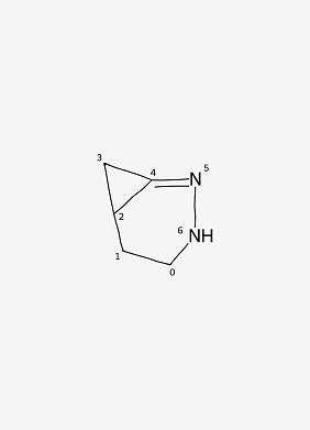 C1CC2CC2=NN1